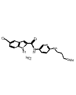 CCn1c(C(=O)Nc2ccc(NCCCOC)nc2)cc2cc(Cl)ccc21.Cl